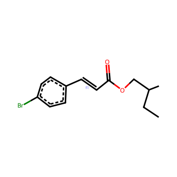 CCC(C)COC(=O)/C=C/c1ccc(Br)cc1